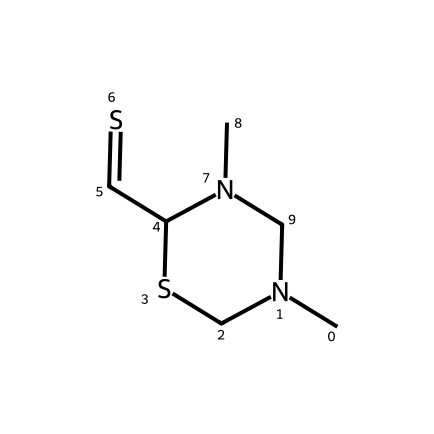 CN1CSC(C=S)N(C)C1